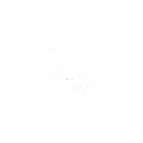 O=S1(=O)CCC(OS(=O)(=O)OCC(F)(F)F)C1